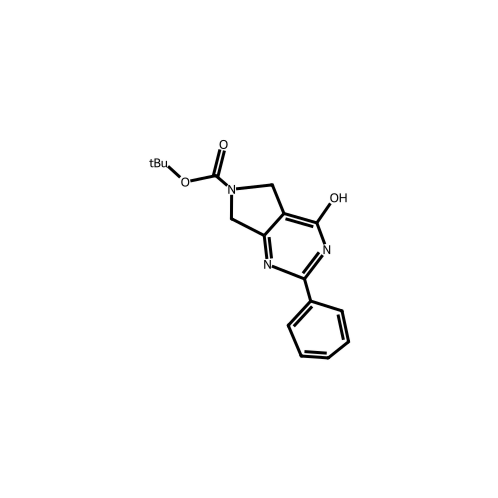 CC(C)(C)OC(=O)N1Cc2nc(-c3ccccc3)nc(O)c2C1